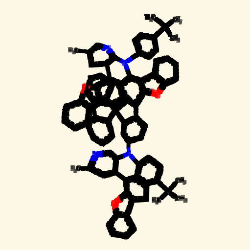 Cc1cnc(N(c2ccc(C(C)(C)C)cc2)c2cc3c(c4oc5ccccc5c24)-c2ccc(N(c4ccc(C(C)(C)C)cc4)c4cnc(C)cc4-c4cccc5c4oc4ccccc45)cc2C32c3ccccc3-c3ccccc32)c(-c2cccc3c2oc2ccccc23)c1